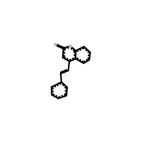 O=c1cc(/C=C/c2ccccc2)c2ccccc2o1